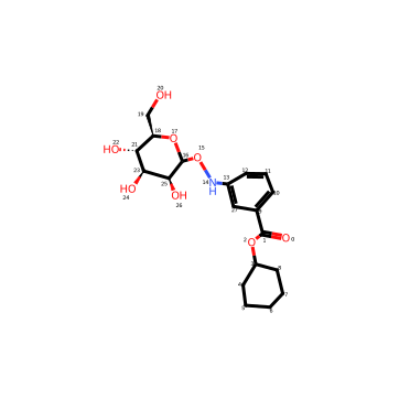 O=C(OC1CCCCC1)c1cccc(NOC2O[C@H](CO)[C@@H](O)[C@H](O)[C@@H]2O)c1